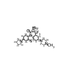 CN1CCN(c2cc3c(c(C(F)(F)F)c2)N(C(=O)OC(C)(C)C)c2ccc(N4CCCC4)cc2S3)CC1